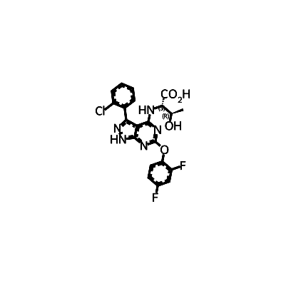 C[C@@H](O)[C@H](Nc1nc(Oc2ccc(F)cc2F)nc2[nH]nc(-c3ccccc3Cl)c12)C(=O)O